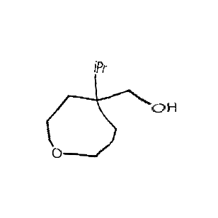 CC(C)C1(CO)CCOCC1